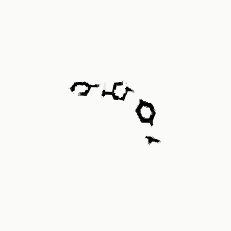 O=C(Nc1cccnc1)c1ccc(Oc2ccc(OC(F)(F)F)cc2)nc1